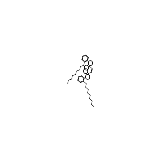 CCCCCCCCCc1ccccc1OC(=O)/C=C\C(=O)Oc1ccccc1CCCCCCCCC